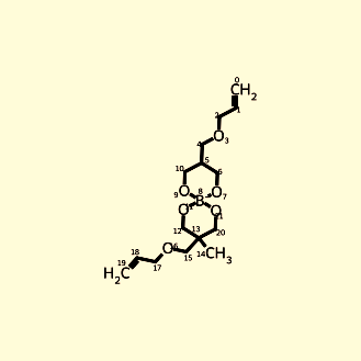 C=CCOCC1CO[B-]2(OC1)OCC(C)(COCC=C)CO2